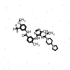 C=N/C(=N\c1c(C)ncnc1Nc1cc(C(=O)Nc2ccc(OC)c(C(F)(F)F)c2)ccc1C)N1CCC(N2CCCC2)CC1